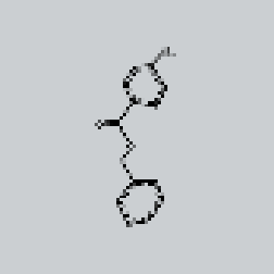 CC(C)(C)c1ccc(C(=O)OCc2ccccc2)cc1